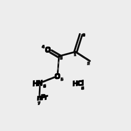 C=C(C)C(=O)ONCCC.Cl